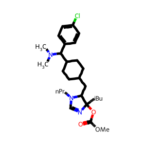 CCCN1C=NC(OC(=O)OC)(C(C)CC)C1CC1CCC(C(c2ccc(Cl)cc2)N(C)C)CC1